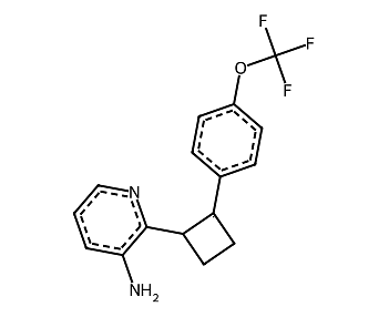 Nc1cccnc1C1CC[C]1c1ccc(OC(F)(F)F)cc1